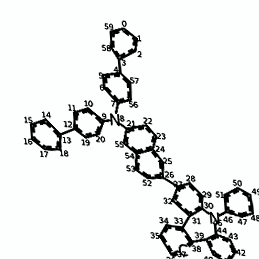 c1ccc(-c2ccc(N(c3ccc(-c4ccccc4)cc3)c3ccc4cc(-c5ccc6c(c5)-c5ccccc5-c5ccccc5N6c5ccccc5)ccc4c3)cc2)cc1